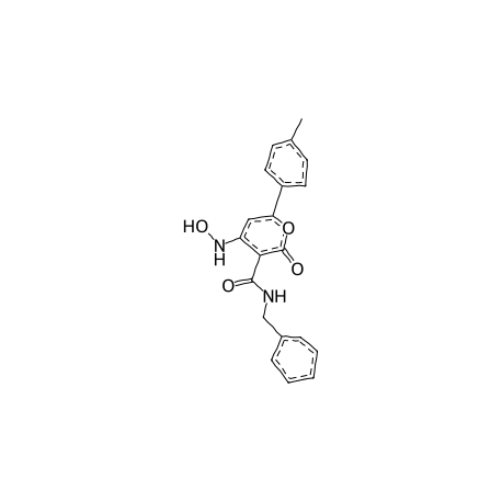 Cc1ccc(-c2cc(NO)c(C(=O)NCc3ccccc3)c(=O)o2)cc1